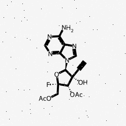 C#C[C@]1(O)[C@H](n2cnc3c(N)ncnc32)O[C@](F)(COC(C)=O)[C@H]1OC(C)=O